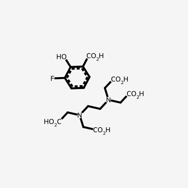 O=C(O)CN(CCN(CC(=O)O)CC(=O)O)CC(=O)O.O=C(O)c1cccc(F)c1O